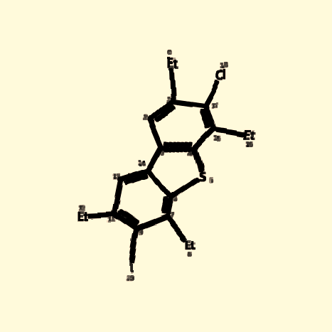 CCc1cc2c(sc3c(CC)c(I)c(CC)cc32)c(CC)c1Cl